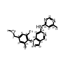 COCc1cc(F)c(-n2ncc3cnc(Nc4cc(C)ncn4)cc32)c(F)c1